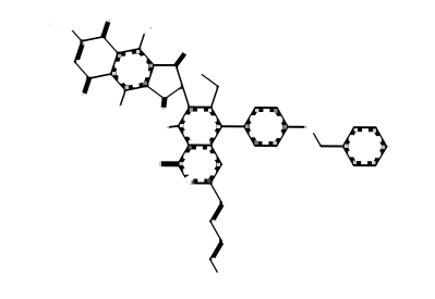 C/C=C/C=C/c1cc2c(-c3ccc(OCc4ccccc4)cc3)c3c(c(O)c2c(=O)[nH]1)[C@@]1(CC3)C(=O)c2c(O)c3c(c(O)c2C1=O)C(=O)C(OC)=CC3=O